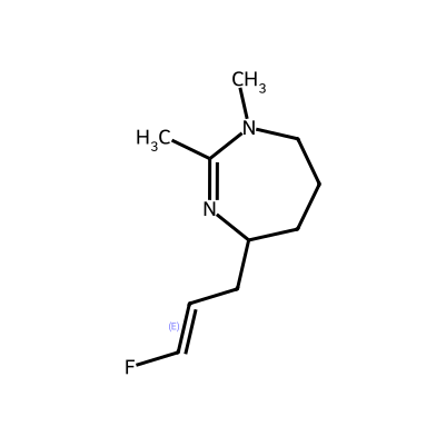 CC1=NC(C/C=C/F)CCCN1C